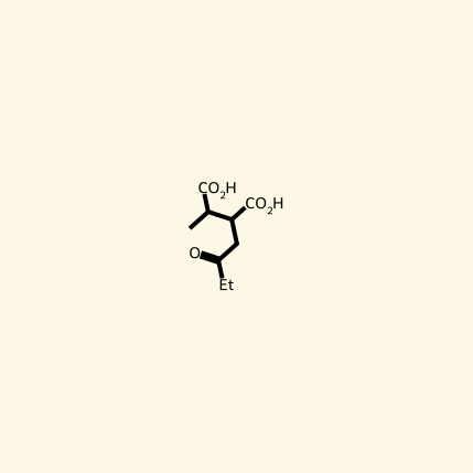 CCC(=O)CC(C(=O)O)C(C)C(=O)O